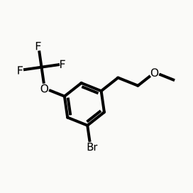 COCCc1cc(Br)cc(OC(F)(F)F)c1